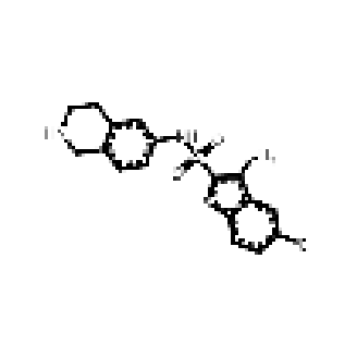 Cc1c(S(=O)(=O)Nc2ccc3c(c2)CCNC3)sc2ccc(Cl)cc12